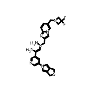 N/C(=C\N(N)Cc1cn2cc(CN3CC(F)(F)C3)ccc2n1)c1cncc(-n2cc3c(c2)CSC3)c1